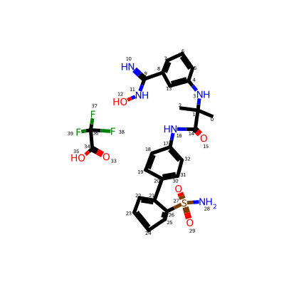 CC(C)(Nc1cccc(C(=N)NO)c1)C(=O)Nc1ccc(-c2ccccc2S(N)(=O)=O)cc1.O=C(O)C(F)(F)F